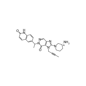 CC#CCn1c(N2CCC[C@@H](N)C2)nc2cnn(C(C)c3ccc4[nH]c(=O)ccc4c3)c(=O)c21